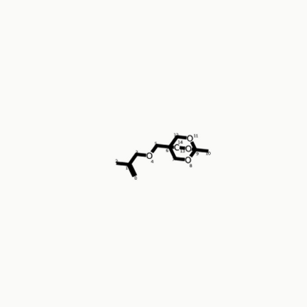 C=C(C)COCC12COC(C)(OC1)OC2